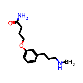 BNCCCc1cccc(OCCCC(N)=O)c1